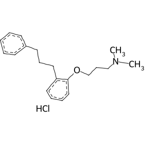 CN(C)CCCOc1ccccc1CCCc1ccccc1.Cl